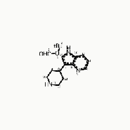 CC(C)(C)OC=O.c1cnc2c(C3CCNCC3)c[nH]c2c1